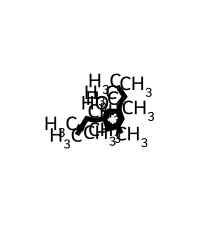 Cc1cc(C(C)(C)CC(C)(C)C)c(O)c(C(C)(C)CC(C)(C)C)c1